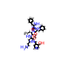 CC(C)C[C@@H](NC(=O)[C@@H](Cc1ccccc1)NC(=O)[C@H](N)Cc1ccccc1)C(=O)N[C@H](CCCCN)C(=O)NCc1ccncc1O